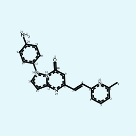 Cc1cccc(/C=C/c2cc(=O)n3c(ccn3-c3ccc(N)cc3)n2)n1